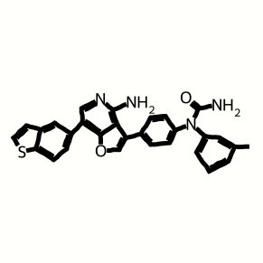 Cc1cccc(N(C(N)=O)c2ccc(-c3coc4c(-c5ccc6sccc6c5)cnc(N)c34)cc2)c1